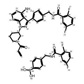 C=CC(=O)N1CCC[C@@H](n2nc(-c3ccc(CNC(=O)c4cc(F)ccc4F)cc3)c3c(N)ncnc32)C1.O=C(NCc1ccc(B(O)O)cc1)c1cc(F)ccc1F